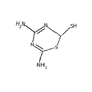 NC1=NC(S)SC(N)=N1